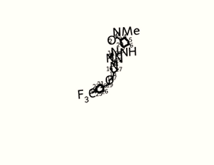 CNC(=O)c1cccc(Nc2ncnc(N3CC(COCc4ccc(C(F)(F)F)cc4)C3)n2)c1